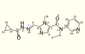 CCN(C(=O)c1cnc(/C=N/NC(=O)C2CC2)n1C)c1cccnc1